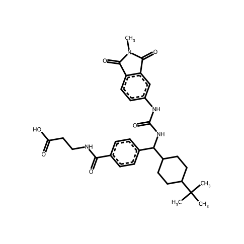 CN1C(=O)c2ccc(NC(=O)NC(c3ccc(C(=O)NCCC(=O)O)cc3)C3CCC(C(C)(C)C)CC3)cc2C1=O